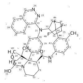 Cc1ccc(NC(=O)[C@H]2CCCN(C(=O)O)[C@@]2(c2ccc(N(c3nncc4ccccc34)C3CCCC3)cc2)C(C)(C)C)cc1C(F)(F)F